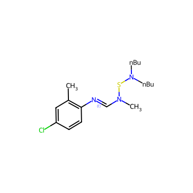 CCCCN(CCCC)SN(C)/C=N/c1ccc(Cl)cc1C